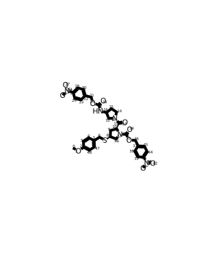 COc1ccc(CS[C@H]2C[C@@H](C(=O)N3CCC(NC(=O)OCc4ccc([N+](=O)[O-])cc4)C3)N(C(=O)OCc3ccc([N+](=O)[O-])cc3)C2)cc1